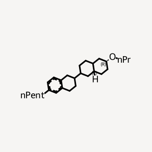 CCCCCc1ccc2c(c1)CCC(C1CCC3C[C@H](OCCC)CC[C@@H]3C1)C2